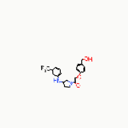 O=C(COc1ccc(CO)cc1)N1CCC(NC2=CC=CC(C(F)(F)F)C2)C1